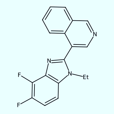 CCn1c(-c2cncc3ccccc23)nc2c(F)c(F)ccc21